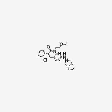 CCOCCn1c(=O)c(-c2ccccc2Cl)cc2cnc(NN3CC4CCCC4C3)nc21